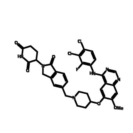 COc1cc2ncnc(Nc3ccc(Cl)c(Cl)c3F)c2cc1OC1CCN(Cc2ccc3c(c2)CN(C2CCC(=O)NC2=O)C3=O)CC1